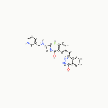 CN(Cc1cccnc1)C1CN(C(=O)c2cc(Cc3n[nH]c(=O)c4ccccc34)ccc2F)C1